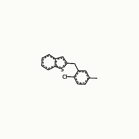 Cc1ccc(Cl)c(Cc2cc3ccccc3s2)c1